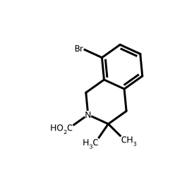 CC1(C)Cc2cccc(Br)c2CN1C(=O)O